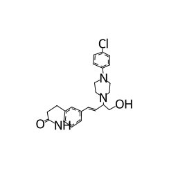 O=C1CCc2cc(/C=C/C(CO)N3CCN(c4ccc(Cl)cc4)CC3)ccc2N1